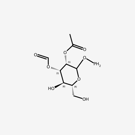 CC(=O)O[C@@H]1C(OP)O[C@H](CO)[C@@H](O)[C@@H]1OC=O